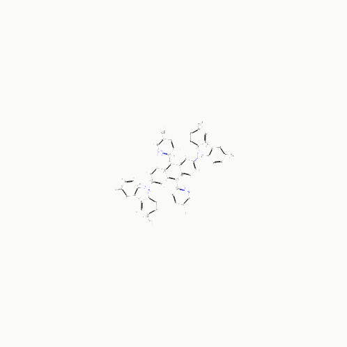 CC(C)(C)c1ccc(-c2c3ccc(-n4c5ccc(C(F)(F)F)cc5c5cc(C(F)(F)F)ccc54)cc3c(-c3ccc(C(C)(C)C)cn3)c3ccc(-n4c5ccc(C(F)(F)F)cc5c5cc(C(F)(F)F)ccc54)cc23)nc1